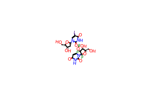 O=c1[nH]c(=O)n([C@H]2C[C@H](O)[C@@H](CO)O2)cc1I.O=c1ccn([C@]2(F)O[C@H](CO)[C@@H](O)[C@@]2(F)OF)c(=O)[nH]1